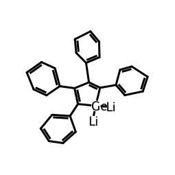 [Li][Ge]1([Li])[C](c2ccccc2)=C(c2ccccc2)C(c2ccccc2)=[C]1c1ccccc1